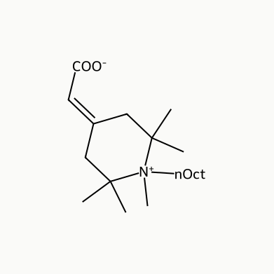 CCCCCCCC[N+]1(C)C(C)(C)CC(=CC(=O)[O-])CC1(C)C